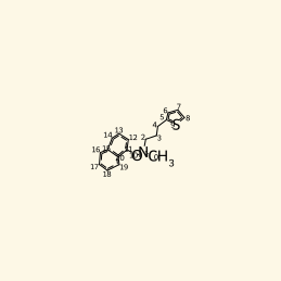 CN(CCCc1cccs1)Oc1cccc2ccccc12